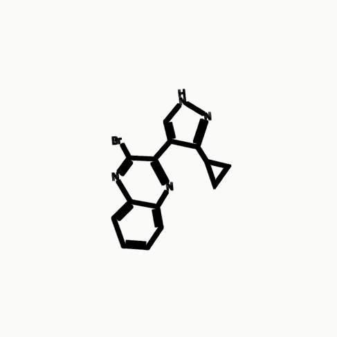 Brc1nc2ccccc2nc1-c1c[nH]nc1C1CC1